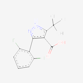 CC(C)(C)c1[nH]nc(-c2c(F)cccc2Cl)c1C(=O)O